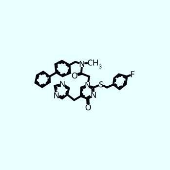 CN(Cc1ccc(-c2ccccc2)cc1)C(=O)Cn1cc(Cc2cncnc2)c(=O)nc1SCc1ccc(F)cc1